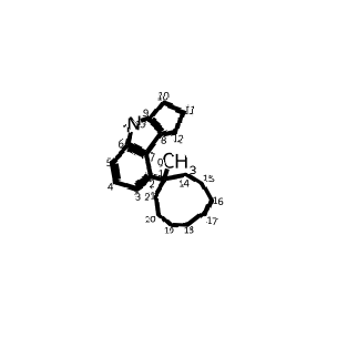 CC1(c2cccc3c2C2=C(CCC2)[N]3)CCCCCCCC1